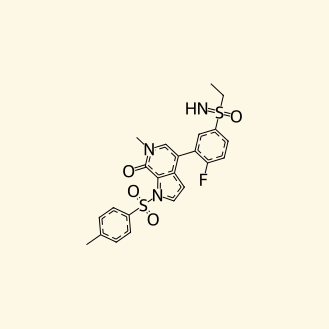 CCS(=N)(=O)c1ccc(F)c(-c2cn(C)c(=O)c3c2ccn3S(=O)(=O)c2ccc(C)cc2)c1